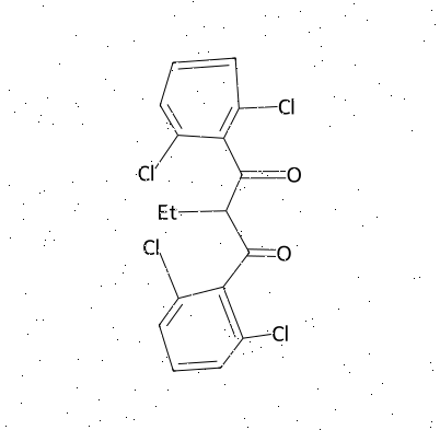 [CH2]CC(C(=O)c1c(Cl)cccc1Cl)C(=O)c1c(Cl)cccc1Cl